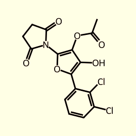 CC(=O)Oc1c(N2C(=O)CCC2=O)oc(-c2cccc(Cl)c2Cl)c1O